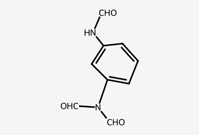 O=CNc1cccc(N(C=O)C=O)c1